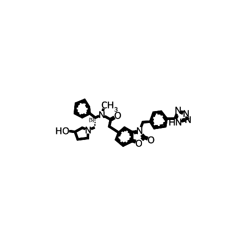 CN(C(=O)Cc1ccc2oc(=O)n(Cc3ccc(-c4nnn[nH]4)cc3)c2c1)[C@H](CN1CCC(O)C1)c1ccccc1